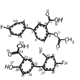 CC(=O)Oc1ccc(-c2ccc(F)cc2)cc1C(=O)O.O=C(O)c1cc(-c2ccc(F)cc2F)ccc1O